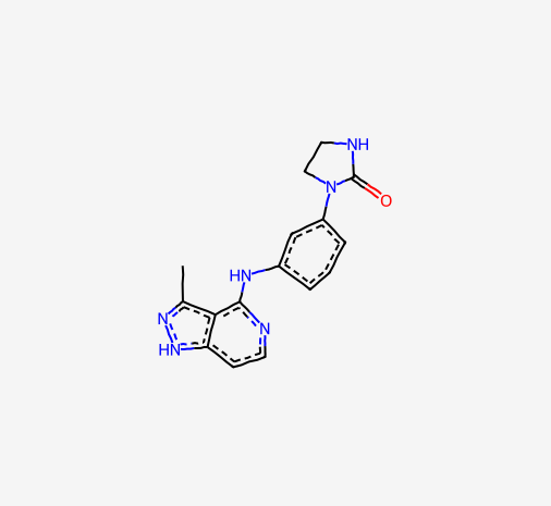 Cc1n[nH]c2ccnc(Nc3cccc(N4CCNC4=O)c3)c12